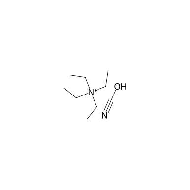 CC[N+](CC)(CC)CC.N#CO